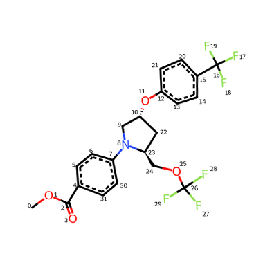 COC(=O)c1ccc(N2C[C@H](Oc3ccc(C(F)(F)F)cc3)C[C@H]2COC(F)(F)F)cc1